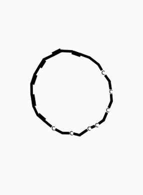 [C]1=C/C=C\C=C/C=C\C=C/C=C\CCCCCCCCCCCCCC\1